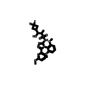 COc1cccc(-c2nnc(NS(=O)(=O)C(C)C(O)C3CC(F)(F)C3)n2-c2c(OC)cccc2OC)n1